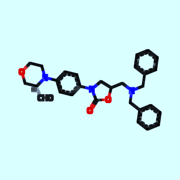 O=C[C@@H]1COCCN1c1ccc(N2CC(CN(Cc3ccccc3)Cc3ccccc3)OC2=O)cc1